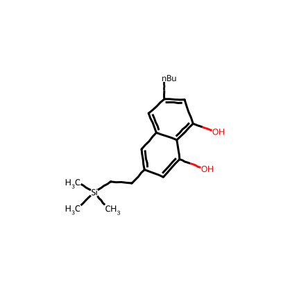 CCCCc1cc(O)c2c(O)cc(CC[Si](C)(C)C)cc2c1